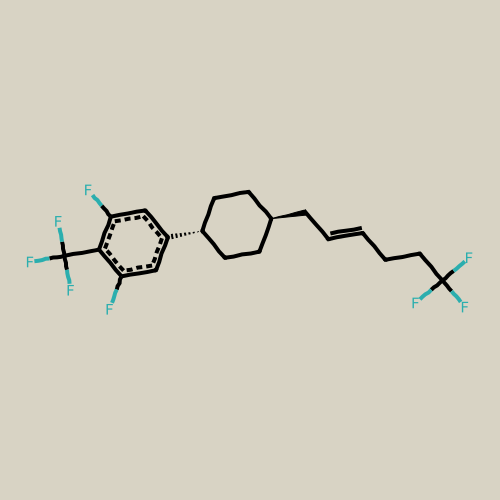 Fc1cc([C@H]2CC[C@H](CC=CCCC(F)(F)F)CC2)cc(F)c1C(F)(F)F